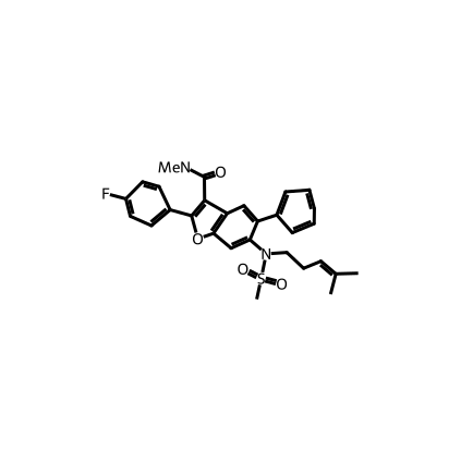 CNC(=O)c1c(-c2ccc(F)cc2)oc2cc(N(CCC=C(C)C)S(C)(=O)=O)c(-c3ccccc3)cc12